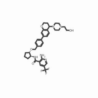 Nc1ncc(C(F)(F)F)cc1C(=O)N[C@H]1CCC[C@@H]1OCc1ccc(-c2ccc3c(c2)OCCC3N2CCN(CCO)CC2)cc1